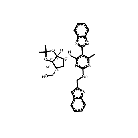 Cc1nc(NCc2cc3ccccc3s2)nc(N[C@@H]2C[C@H](CO)[C@H]3OC(C)(C)O[C@H]32)c1-c1nc2ccccc2s1